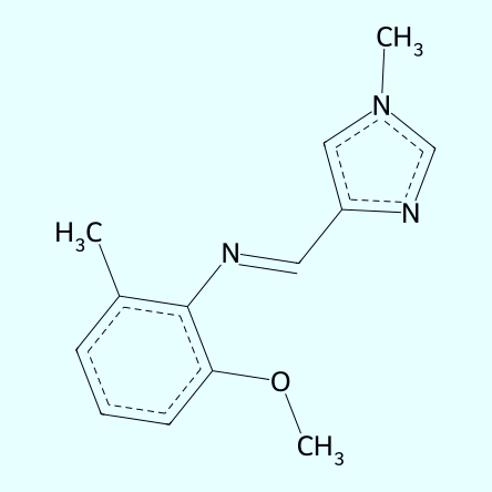 COc1cccc(C)c1/N=C/c1cn(C)cn1